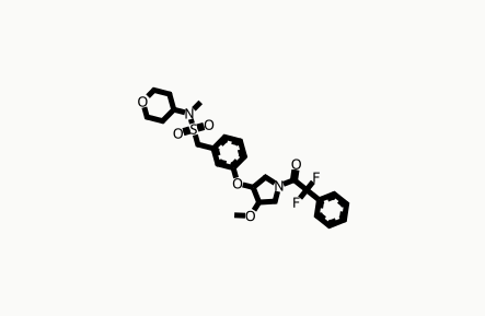 COC1CN(C(=O)C(F)(F)c2ccccc2)CC1Oc1cccc(CS(=O)(=O)N(C)C2CCOCC2)c1